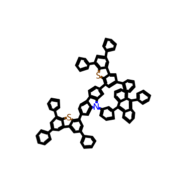 c1ccc(-c2cc(-c3ccccc3)c3sc4c(-c5ccc6c7ccc(-c8cc(-c9ccccc9)cc9c8sc8c(-c%10ccccc%10)cc(-c%10ccccc%10)cc89)cc7n(-c7cccc(-c8c9ccccc9c(-c9ccccc9)c9ccccc89)c7)c6c5)cc(-c5ccccc5)cc4c3c2)cc1